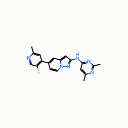 Cc1cc(-c2ccn3nc(Nc4cc(C)nc(C)n4)cc3c2)c(F)cn1